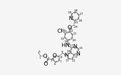 CCOC(=O)c1ccc(Cn2ccc3ncnc(Nc4ccc(OCc5ccccn5)c(Cl)c4)c32)o1